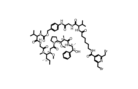 CC[C@H](C)C([C@@H](CC(=O)N1CCC[C@H]1[C@H](OC)[C@@H](C)C(=O)N[C@H](C)[C@@H](O)c1ccccc1)OC)N(C)C(=O)CNC(=O)C(C(C)C)N(C)C(=O)OCc1ccc(NC(=O)CNC(=O)C(NC(=O)CCCCCNC(=O)c2cc(CBr)nc(CBr)c2)C(C)C)cc1